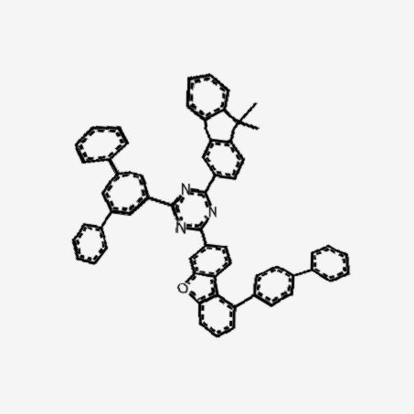 CC1(C)c2ccccc2-c2cc(-c3nc(-c4cc(-c5ccccc5)cc(-c5ccccc5)c4)nc(-c4ccc5c(c4)oc4cccc(-c6ccc(-c7ccccc7)cc6)c45)n3)ccc21